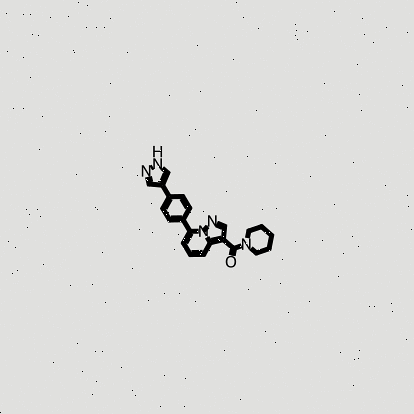 O=C(c1cnn2c(-c3ccc(-c4cn[nH]c4)cc3)cccc12)N1CCCCC1